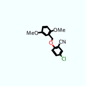 COc1ccc(OC)c(COc2ccc(Cl)cc2C#N)c1